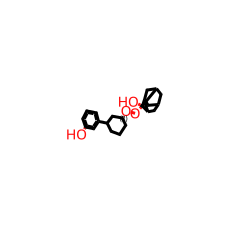 Oc1cccc(C2CCC[C@@H](OOC3(O)C4CC5CC(C4)CC3C5)C2)c1